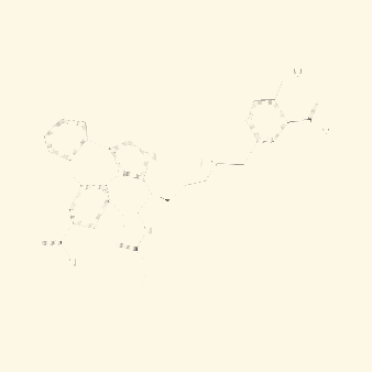 COC(=O)c1cc(CNCCC[C@@H](CNC(=O)OC(C)(C)C)c2[nH]cc(-c3ccccc3)[n+]2-c2c(C)cc(C(N)=O)cc2C)ccc1OC